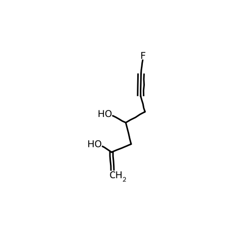 C=C(O)CC(O)CC#CF